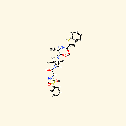 CC(C)(C)C(NC(=O)c1cc2ccccc2s1)C(=O)N1C[C@H]2N(C(=O)CNS(=O)(=O)c3ccccc3)CC21C